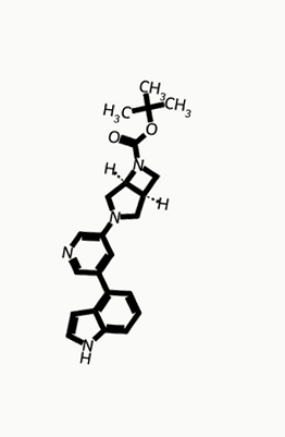 CC(C)(C)OC(=O)N1C[C@H]2CN(c3cncc(-c4cccc5[nH]ccc45)c3)C[C@H]21